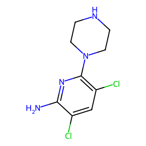 Nc1nc(N2CCNCC2)c(Cl)cc1Cl